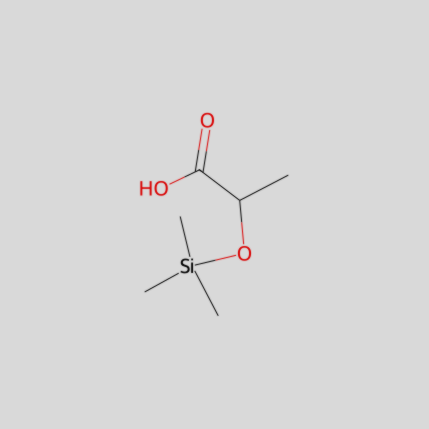 CC(O[Si](C)(C)C)C(=O)O